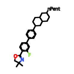 CCCCCC1CCC2CC(c3ccc(-c4ccc(C5=NC(C)(C)CO5)c(F)c4)cc3)CCC2C1